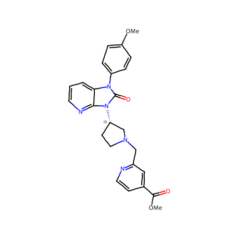 COC(=O)c1ccnc(CN2CC[C@H](n3c(=O)n(-c4ccc(OC)cc4)c4cccnc43)C2)c1